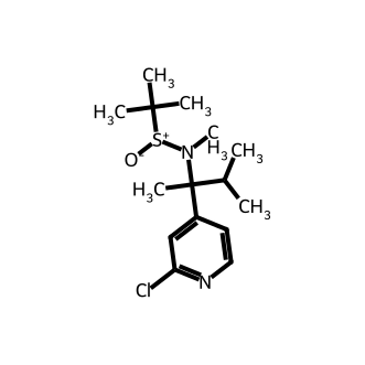 CC(C)C(C)(c1ccnc(Cl)c1)N(C)[S+]([O-])C(C)(C)C